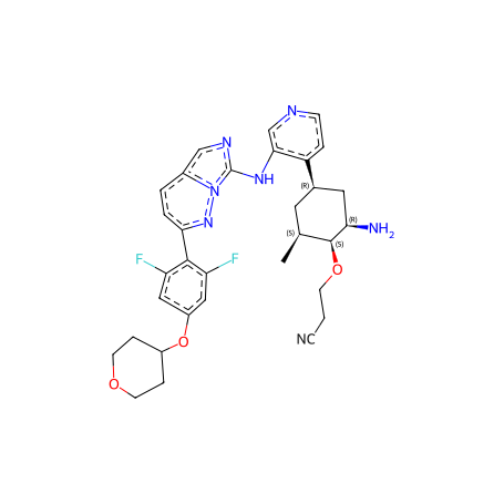 C[C@H]1C[C@@H](c2ccncc2Nc2ncc3ccc(-c4c(F)cc(OC5CCOCC5)cc4F)nn23)C[C@@H](N)[C@H]1OCCC#N